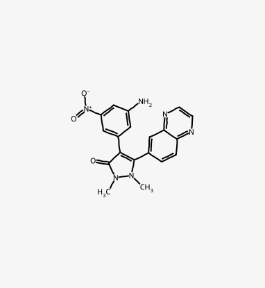 Cn1c(-c2ccc3nccnc3c2)c(-c2cc(N)cc([N+](=O)[O-])c2)c(=O)n1C